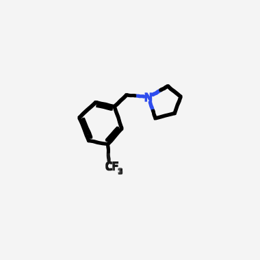 FC(F)(F)c1cccc(CN2CCCC2)c1